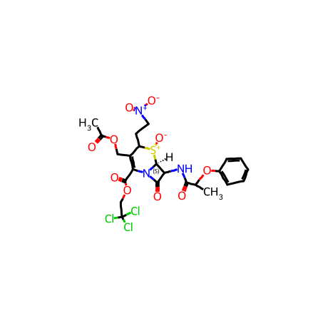 CC(=O)OCC1=C(C(=O)OCC(Cl)(Cl)Cl)N2C(=O)C(NC(=O)C(C)Oc3ccccc3)[C@@H]2[S+]([O-])C1CC[N+](=O)[O-]